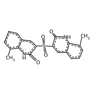 Cc1cccc2cc(S(=O)(=O)c3cc4cccc(C)c4[nH]c3=O)c(=O)[nH]c12